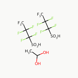 CC(O)O.O=S(=O)(O)C(F)(F)C(F)(F)C(F)(F)F.O=S(=O)(O)C(F)(F)C(F)(F)C(F)(F)F